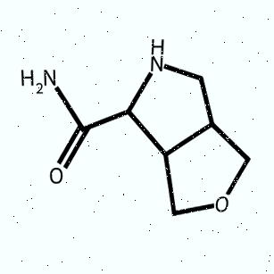 NC(=O)C1NCC2COCC21